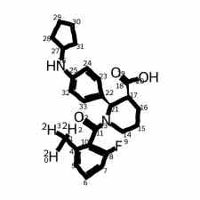 [2H]C([2H])([2H])c1cccc(F)c1C(=O)N1CCC[C@H](C(=O)O)[C@@H]1c1ccc(NC2CCCC2)cc1